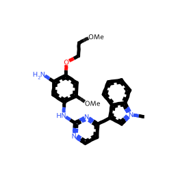 COCCOc1cc(OC)c(Nc2nccc(-c3cn(C)c4ccccc34)n2)cc1N